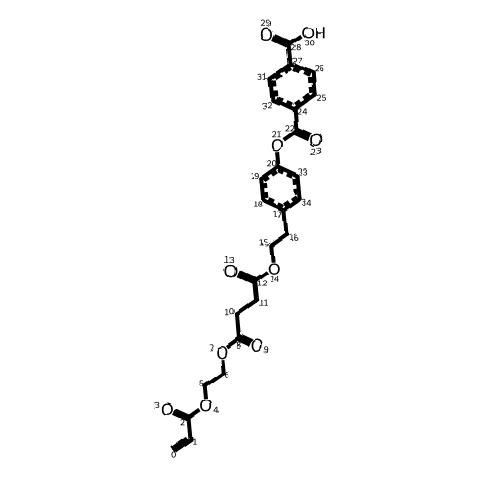 C=CC(=O)OCCOC(=O)CCC(=O)OCCc1ccc(OC(=O)c2ccc(C(=O)O)cc2)cc1